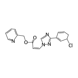 O=C(/C=C\n1cnc(C2=CC(Cl)CC=C2)n1)OCc1ccccn1